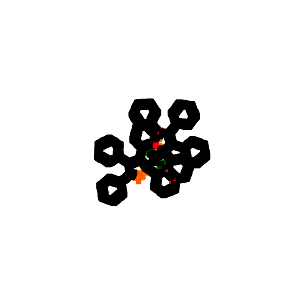 [Cl][Zr]([Cl])([C]1(c2ccccc2)P=C(c2ccccc2)C(c2ccccc2)=C1c1ccccc1)[C]1(c2ccccc2)P=C(c2ccccc2)C(c2ccccc2)=C1c1ccccc1